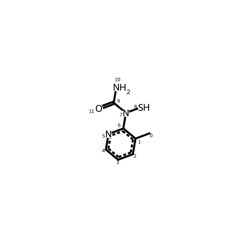 Cc1cccnc1N(S)C(N)=O